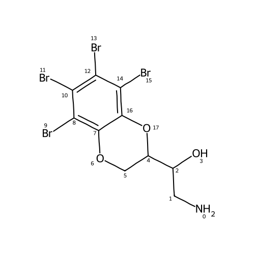 NCC(O)C1COc2c(Br)c(Br)c(Br)c(Br)c2O1